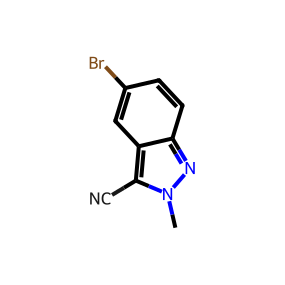 Cn1nc2ccc(Br)cc2c1C#N